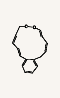 C1=C\Cc2ccccc2/C=C/C=C\CCO/C=C/1